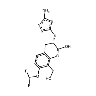 Nc1nnc(S[C@H]2Cc3ccc(OC(F)F)c(CO)c3OB2O)s1